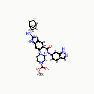 CC(C)(C)OC(=O)N1CCN(c2cc3[nH]c(N[C@H]4CC5CCC4C5)nc3cc2C(=O)Nc2ccc3cn[nH]c3c2)CC1